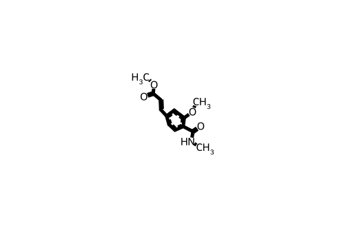 CNC(=O)c1ccc(C=CC(=O)OC)cc1OC